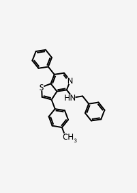 Cc1ccc(-c2csc3c(-c4ccccc4)cnc(NCc4ccccc4)c23)cc1